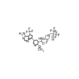 COc1ncc(-c2cc(C(F)(F)F)c3c(N)ncnn23)cc1C(=O)N[C@@H]1CN(CC(O)(C(F)(F)F)C(F)(F)F)C[C@@H]1F